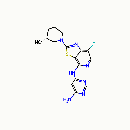 N#C[C@@H]1CCCN(c2nc3c(F)cnc(Nc4cc(N)ncn4)c3s2)C1